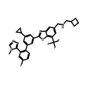 Cn1cnnc1-c1cc(F)ccc1-c1cc(-c2nc3cc(CNCC4CCC4)cc(C(F)(F)F)c3o2)cc(C2CC2)c1